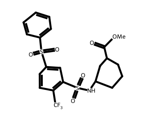 COC(=O)C1CCCC(NS(=O)(=O)c2cc(S(=O)(=O)c3ccccc3)ccc2C(F)(F)F)C1